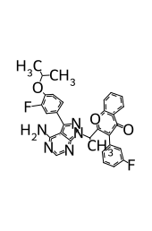 CC(C)Oc1ccc(-c2nn([C@H](C)c3oc4ccccc4c(=O)c3-c3cccc(F)c3)c3ncnc(N)c23)cc1F